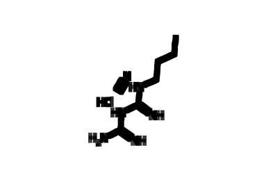 C#N.CCCCNC(=N)NC(=N)N.Cl